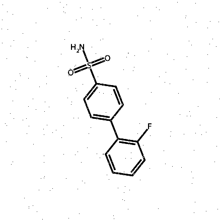 NS(=O)(=O)c1ccc(-c2[c]cccc2F)cc1